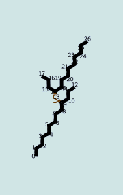 CCCCCCCCCC(CCC)SC(CCC)CCCCCCCCC